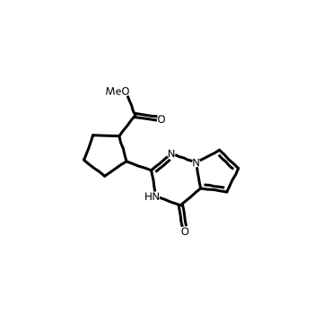 COC(=O)C1CCCC1c1nn2cccc2c(=O)[nH]1